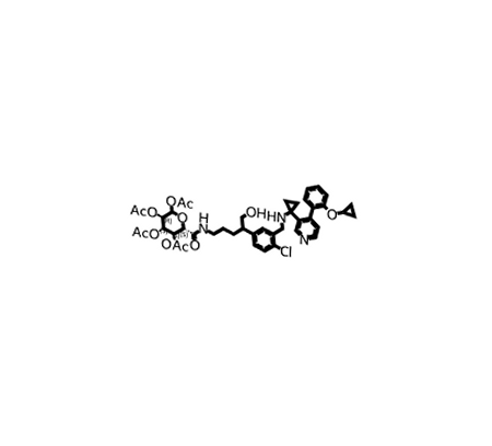 CC(=O)OC1O[C@H](C(=O)NCCCC(CO)c2ccc(Cl)c(CNC3(c4cnccc4-c4ccccc4OC4CC4)CC3)c2)[C@@H](OC(C)=O)[C@H](OC(C)=O)[C@H]1OC(C)=O